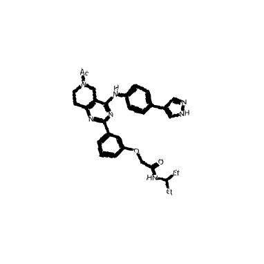 CCC(CC)NC(=O)COc1cccc(-c2nc3c(c(Nc4ccc(-c5cn[nH]c5)cc4)n2)CN(C(C)=O)CC3)c1